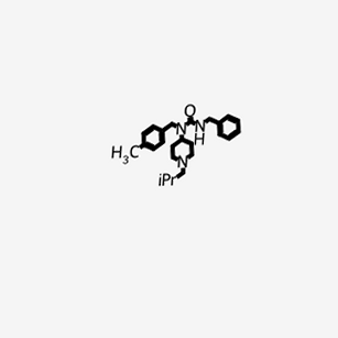 Cc1ccc(CN(C(=O)NCc2ccccc2)C2CCN(CC(C)C)CC2)cc1